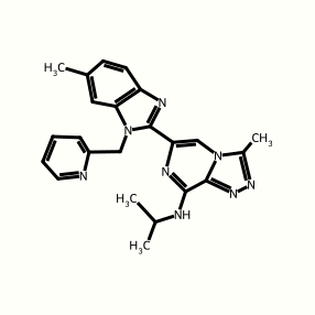 Cc1ccc2nc(-c3cn4c(C)nnc4c(NC(C)C)n3)n(Cc3ccccn3)c2c1